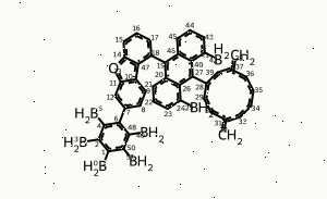 Bc1c(B)c(B)c(-c2ccc3c(c2)oc2cccc(-c4c5cccc(B)c5c(-c5ccc(=C)ccccc(=C)c5)c5c(B)cccc45)c23)c(B)c1B